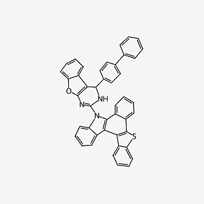 c1ccc(-c2ccc(C3NC(n4c5ccccc5c5c6c7ccccc7sc6c6ccccc6c54)=Nc4oc5ccccc5c43)cc2)cc1